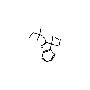 CCC(C)(C)OC(=O)C1(c2ccccc2)COO1